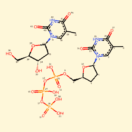 Cc1cn([C@H]2CC[C@@H](COP(=O)(O)OP(=O)(O)OP(=O)(O)O)O2)c(=O)[nH]c1=O.Cc1cn([C@H]2C[C@H](O)[C@@H](CO)O2)c(=O)[nH]c1=O